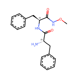 CONC(=O)[C@H](Cc1ccccc1)NC(=O)[C@@H](N)Cc1ccccc1